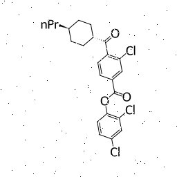 CCC[C@H]1CC[C@H](C(=O)c2ccc(C(=O)Oc3ccc(Cl)cc3Cl)cc2Cl)CC1